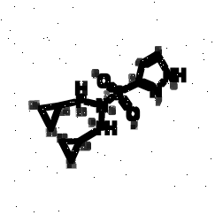 O=S(=O)(c1cc[nH]n1)N(PC1CC1)PC1CC1